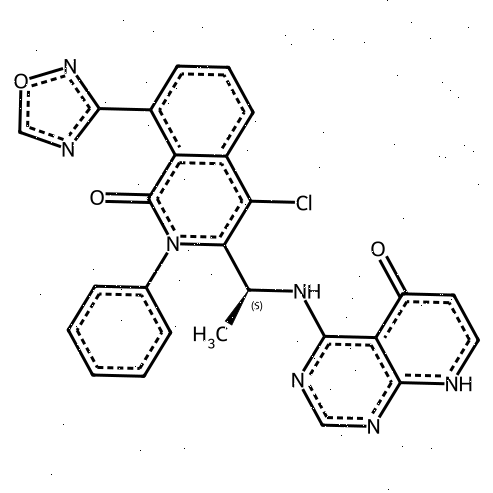 C[C@H](Nc1ncnc2[nH]ccc(=O)c12)c1c(Cl)c2cccc(-c3ncon3)c2c(=O)n1-c1ccccc1